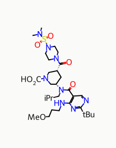 COCCCNc1nc(C(C)(C)C)ncc1C(=O)N(CC(C)C)[C@H]1C[C@@H](C(=O)N2CCN(S(=O)(=O)N(C)C)CC2)CN(C(=O)O)C1